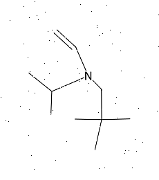 C=CN(CC(C)(C)C)C(C)C